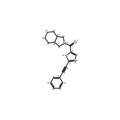 O=C(c1cnc(C#Cc2ccccc2)s1)N1CC2CCCCC2C1